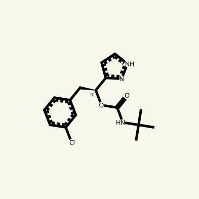 CC(C)(C)NC(=O)O[C@@H](Cc1cccc(Cl)c1)c1cc[nH]n1